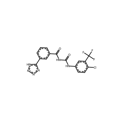 O=C(NC(=O)c1cccc(-c2nnn[nH]2)c1)Nc1ccc(Cl)c(C(F)(F)F)c1